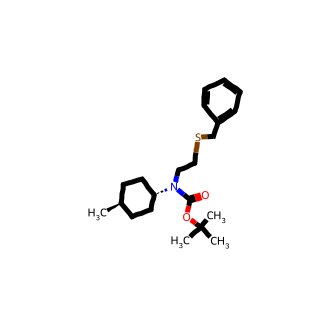 CC(C)(C)OC(=O)N(CCSCc1ccccc1)[C@H]1CC[C@H](C)CC1